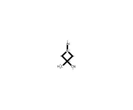 CC(=O)N1CC(C)(C#N)C1